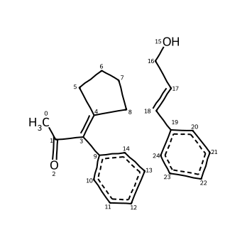 CC(=O)C(=C1CCCC1)c1ccccc1.OC/C=C/c1ccccc1